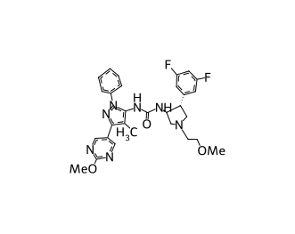 COCCN1C[C@@H](NC(=O)Nc2c(C)c(-c3cnc(OC)nc3)nn2-c2ccccc2)[C@H](c2cc(F)cc(F)c2)C1